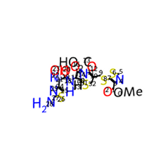 COC(=O)c1ncsc1SCC1=C(OC(=O)O)N2C(=O)C(NC(=O)/C(=N\O)c3csc(N)n3)[C@@H]2SC1